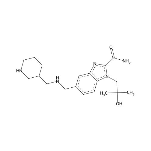 CC(C)(O)Cn1c(C(N)=O)nc2cc(CNCC3CCCNC3)ccc21